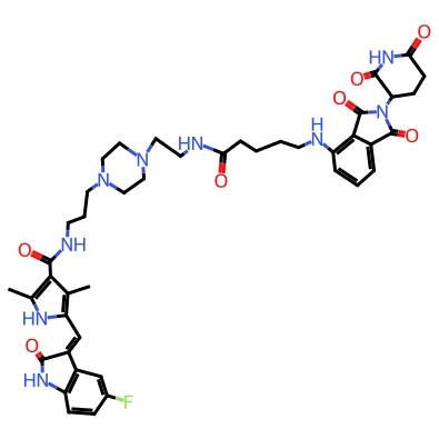 Cc1[nH]c(/C=C2\C(=O)Nc3ccc(F)cc32)c(C)c1C(=O)NCCCN1CCN(CCNC(=O)CCCCNc2cccc3c2C(=O)N(C2CCC(=O)NC2=O)C3=O)CC1